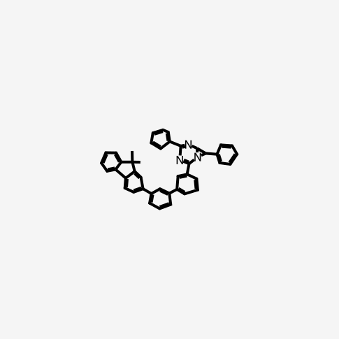 CC1(C)c2ccccc2-c2ccc(-c3cccc(-c4cccc(C5=NC(c6ccccc6)=NC6C(c7ccccc7)N56)c4)c3)cc21